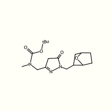 CN(CC1=NN(CC2CC3CCC2O3)C(=O)C1)C(=O)OC(C)(C)C